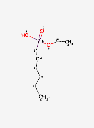 [CH2]CCCCCP(=O)(O)OCC